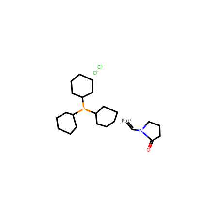 C1CCC(P(C2CCCCC2)C2CCCCC2)CC1.O=C1CCCN1[CH]=[Ru+2].[Cl-].[Cl-]